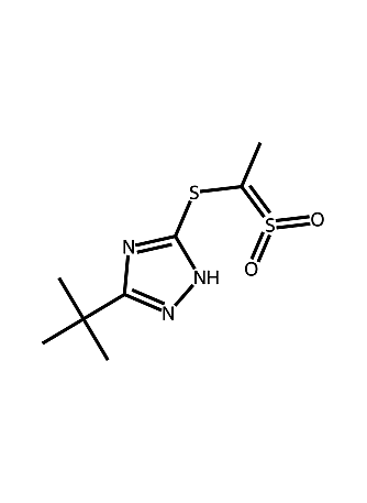 CC(Sc1nc(C(C)(C)C)n[nH]1)=S(=O)=O